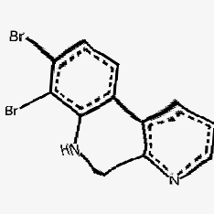 Brc1ccc2c(c1Br)NCc1ncccc1-2